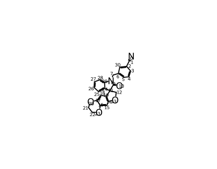 N#Cc1cccc(CN2C(=O)C3(COc4cc5c(cc43)OCCO5)c3ccccc32)c1